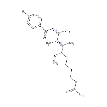 C=CC(CCCCOC(C)=O)/C(C)=C(C)/C(C)=C\C(=C)c1ccc(F)cc1